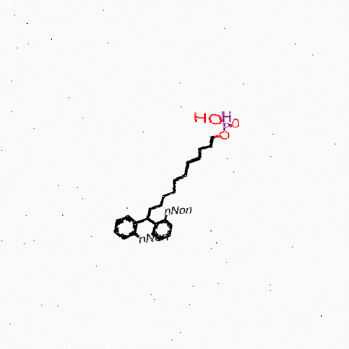 CCCCCCCCCc1ccccc1C(CCCCCCCCCCCO[PH](=O)O)c1ccccc1CCCCCCCCC